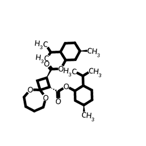 CC(C)C1CC[C@@H](C)CC1OC(=O)[C@@H]1CC2(OCCCCO2)[C@H]1C(=O)OC1C[C@H](C)CCC1C(C)C